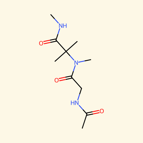 CNC(=O)C(C)(C)N(C)C(=O)CNC(C)=O